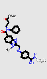 CCOC(=O)NC(=N)c1ccc(NCc2nc3cc(C(=O)N(CCC(=O)OC)c4ccccc4)ccc3n2C)cc1